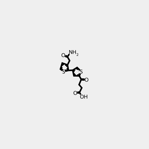 NC(=O)Cc1ccsc1-c1csc(C(=O)CCC(=O)O)c1